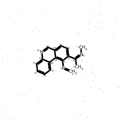 C=Nc1c(/C(C)=N\C)ccc2cnc3ccccc3c12